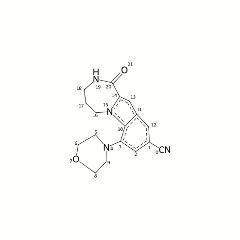 N#Cc1cc(N2CCOCC2)c2c(c1)cc1n2CCCNC1=O